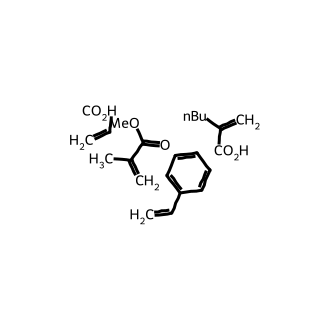 C=C(C)C(=O)OC.C=C(CCCC)C(=O)O.C=CC(=O)O.C=Cc1ccccc1